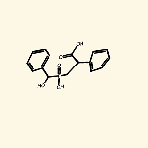 O=C(O)C(CP(=O)(O)C(O)c1ccccc1)c1ccccc1